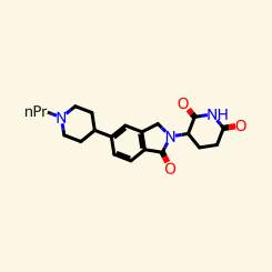 CCCN1CCC(c2ccc3c(c2)CN(C2CCC(=O)NC2=O)C3=O)CC1